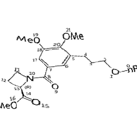 CCCOCCCc1cc(C(=O)N2CC[C@@H]2C(=O)OC)cc(OC)c1OC